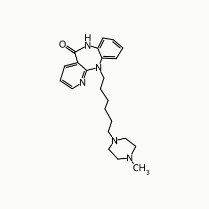 CN1CCN(CCCCCCN2c3ccccc3NC(=O)c3cccnc32)CC1